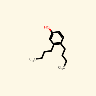 Oc1ccc(CCCC(Cl)(Cl)Cl)c(CCCC(Cl)(Cl)Cl)c1